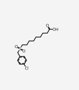 O=C(O)CCCCCCCCS(=O)(=O)Cc1ccc(Cl)cc1